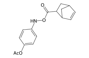 CC(=O)Oc1ccc(NOC(=O)C2CC3C=CC2C3)cc1